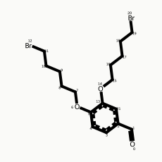 O=Cc1ccc(OCCCCCBr)c(OCCCCCBr)c1